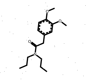 CCCN(CCC)C(=O)Cc1ccc(OC)c(OC)c1